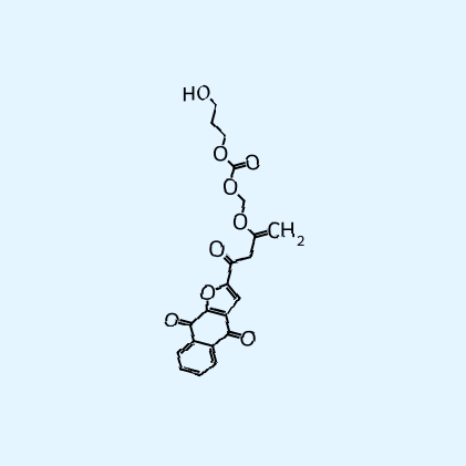 C=C(CC(=O)c1cc2c(o1)C(=O)c1ccccc1C2=O)OCOC(=O)OCCCO